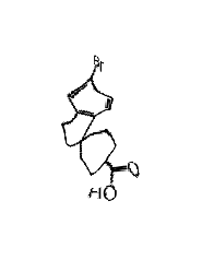 O=C(O)C1CCC2(CCc3cc(Br)ccc32)CC1